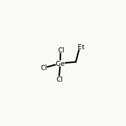 CC[CH2][Ge]([Cl])([Cl])[Cl]